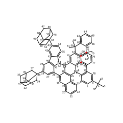 CC(C)(C)c1ccc(N2c3cc4c(cc3B3c5c(cc6ccccc6c52)-c2cc(C56CC7CC(CC(C7)C5)C6)cc5c6cc(C78CC9CC(CC(C9)C7)C8)ccc6n3c25)C(C)(C)c2ccccc2C4(C)C)c(-c2ccccc2)c1